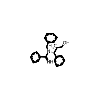 C[C@@H](CO)[C@H](c1ccccc1)N(Cc1ccccc1)C(=N)c1ccccc1